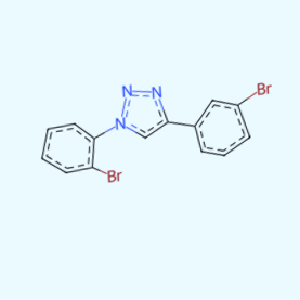 Brc1cccc(-c2cn(-c3ccccc3Br)nn2)c1